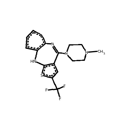 CN1CCN(C2=Nc3ccccc3Nc3sc(C(F)(F)F)cc32)CC1